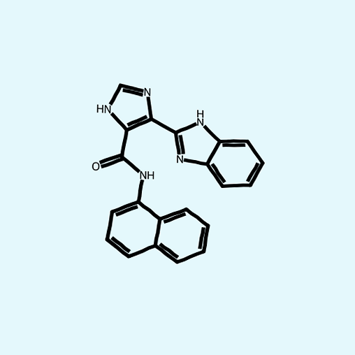 O=C(Nc1cccc2ccccc12)c1[nH]cnc1-c1nc2ccccc2[nH]1